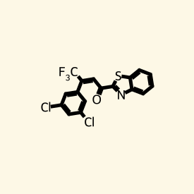 O=C(C=C(c1cc(Cl)cc(Cl)c1)C(F)(F)F)c1nc2ccccc2s1